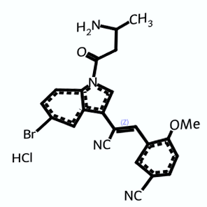 COc1ccc(C#N)cc1/C=C(\C#N)c1cn(C(=O)CC(C)N)c2ccc(Br)cc12.Cl